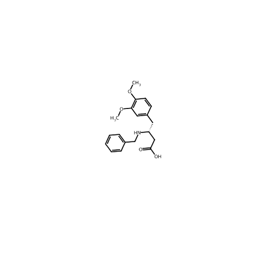 COc1ccc(C[C@H](CC(=O)O)NCc2ccccc2)cc1OC